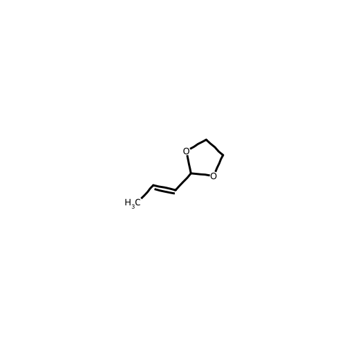 C/C=C/C1OCCO1